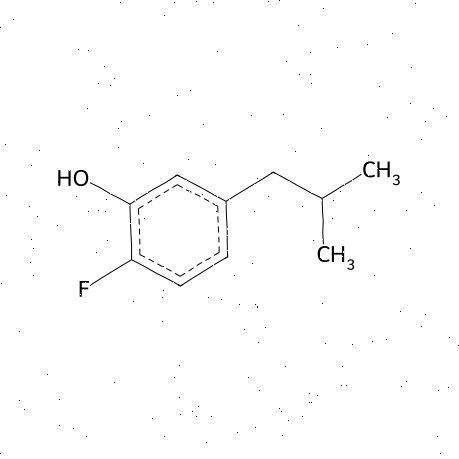 CC(C)Cc1ccc(F)c(O)c1